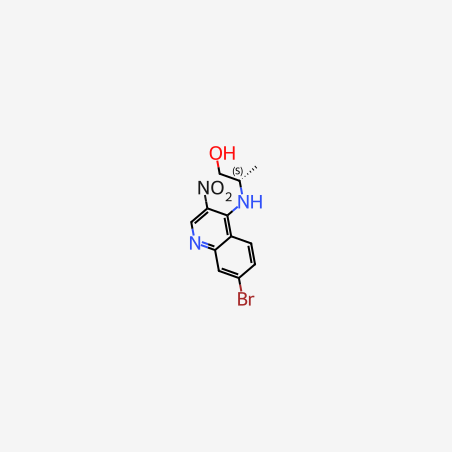 C[C@@H](CO)Nc1c([N+](=O)[O-])cnc2cc(Br)ccc12